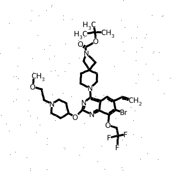 C=Cc1cc2c(N3CCC4(CC3)CN(C(=O)OC(C)(C)C)C4)nc(OC3CCN(CCOC)CC3)nc2c(OCC(F)(F)F)c1Br